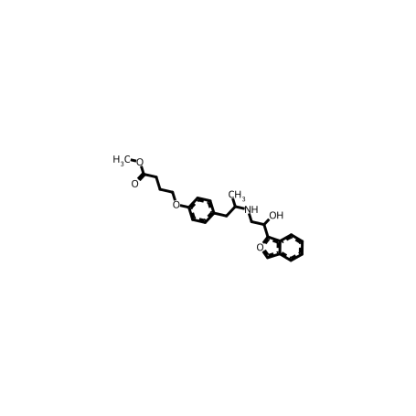 COC(=O)CCCOc1ccc(CC(C)NCC(O)c2occ3ccccc23)cc1